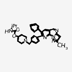 Cc1cc2ncc3cc(-c4ccccc4)c(-c4ccc(CN5CCC(OC(=O)NC(C)C)CC5)cc4)nc3n2n1